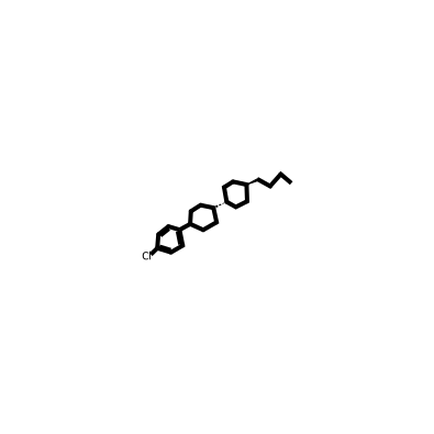 CCCC[C@H]1CC[C@H](C2CCC(c3ccc(Cl)cc3)CC2)CC1